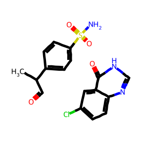 CC(C=O)c1ccc(S(N)(=O)=O)cc1.O=c1[nH]cnc2ccc(Cl)cc12